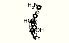 CC/C=C\C(=O)/C=C1/CC[C@H]2[C@@H]3C[C@H]4O[C@@H](c5ccc(CSc6cccc(N)c6)cc5)O[C@@]4(C(=O)CO)[C@@]3(C)C[C@H](O)[C@]2(F)C1